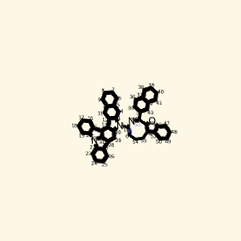 C1=C(n2c3cc4ccccc4cc3c3c4c5ccccc5n5c6ccccc6c(cc32)c45)\N=C(\c2ccc3ccccc3c2)c2oc3ccccc3c2CC/1